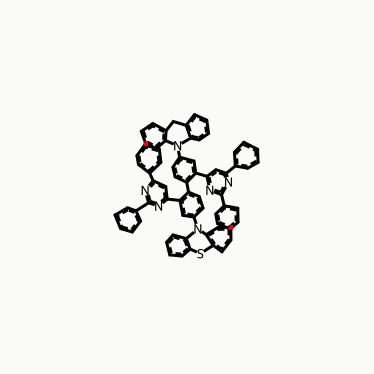 c1ccc(-c2cc(-c3cc(N4c5ccccc5Cc5ccccc54)ccc3-c3ccc(N4c5ccccc5Sc5ccccc54)cc3-c3cc(-c4ccccc4)nc(-c4ccccc4)n3)nc(-c3ccccc3)n2)cc1